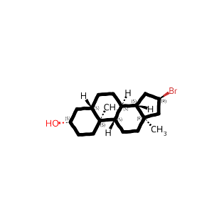 C[C@]12CC[C@H]3[C@@H](CC[C@H]4C[C@@H](O)CC[C@@]43C)[C@@H]1C[C@@H](Br)C2